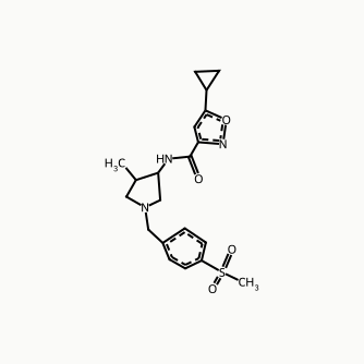 CC1CN(Cc2ccc(S(C)(=O)=O)cc2)CC1NC(=O)c1cc(C2CC2)on1